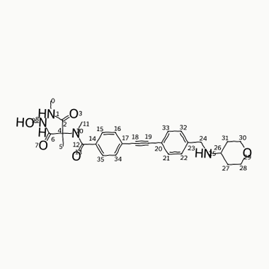 CNC(=O)C(C)(C(=O)NO)N(C)C(=O)c1ccc(C#Cc2ccc(CNC3CCOCC3)cc2)cc1